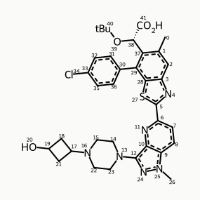 Cc1cc2nc(-c3ccc4c(n3)c(N3CCN(C5CC(O)C5)CC3)nn4C)sc2c(-c2ccc(Cl)cc2)c1[C@H](OC(C)(C)C)C(=O)O